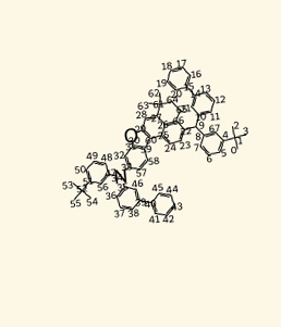 CC(C)(C)c1cccc(C(c2cccc(-c3ccccc3)c2)c2ccc3c4c(cc5oc6cc(N(c7cccc(-c8ccccc8)c7)c7cccc(C(C)(C)C)c7)ccc6c53)C(C)(C)CCc24)c1